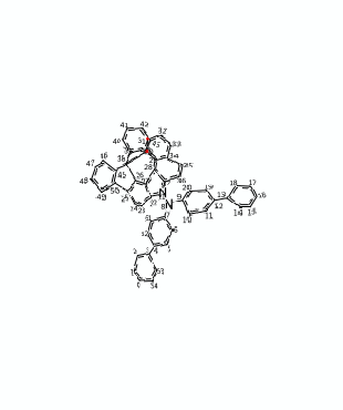 c1ccc(-c2ccc(N(c3ccc(-c4ccccc4)cc3)n3c4ccc5c6c4c4c7c(cccc7ccc43)C6(c3ccccc3)c3ccccc3-5)cc2)cc1